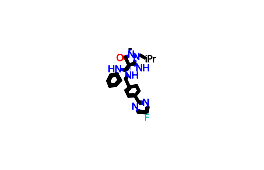 CC(C)CN1C(=N)/C(=C(\NCC2=CC=C(c3ncc(F)cn3)CC2)Nc2ccccc2)C(=O)N1C